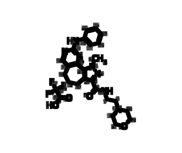 Cn1nc(C(=O)NCCN2CCOCC2)c2c1-c1nc(Nc3ccccc3)ncc1CCC2.O=C(O)C(F)(F)F